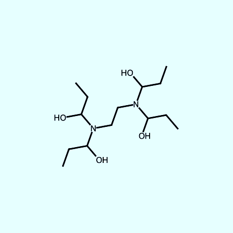 CCC(O)N(CCN(C(O)CC)C(O)CC)C(O)CC